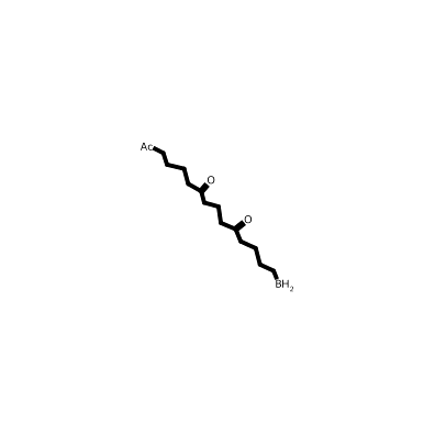 BCCCCC(=O)CCCC(=O)CCCCC(C)=O